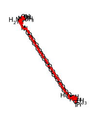 CCCCc1nc2c(N)nc3cc(CCCN4CCN(CCCOCCOCCOCCOCCOCCOCCOCCOCCOCCOCCOCCOCCOCCOCCOCCOCCOCCOCCOCCOCCOCCOCCOCCOCCNC(=O)O[C@H]5CC[C@@]6(C)C(=CC[C@H]7[C@@H]8CC[C@H]([C@H](C)CCCC(C)C)[C@@]8(C)CC[C@@H]76)C5)CC4)ccc3c2n1CC(C)(CO)CO